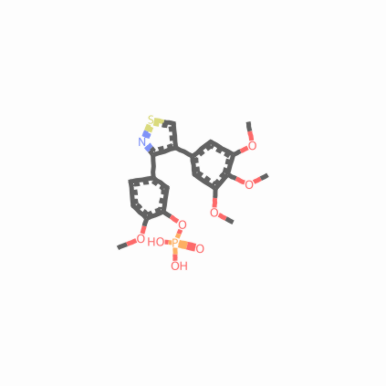 COc1ccc(-c2nscc2-c2cc(OC)c(OC)c(OC)c2)cc1OP(=O)(O)O